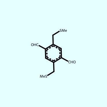 CSCc1cc(C=O)c(CSC)cc1C=O